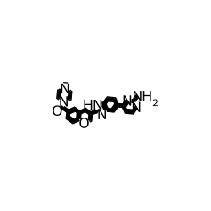 CN1CCN(C(=O)c2ccc3c(c2)CC(c2nc4cc(-c5ccnc(N)n5)ccc4[nH]2)CO3)CC1